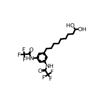 O=C(Nc1cc(CCCCCCCCC(O)O)cc(NC(=O)C(F)(F)F)c1)C(F)(F)F